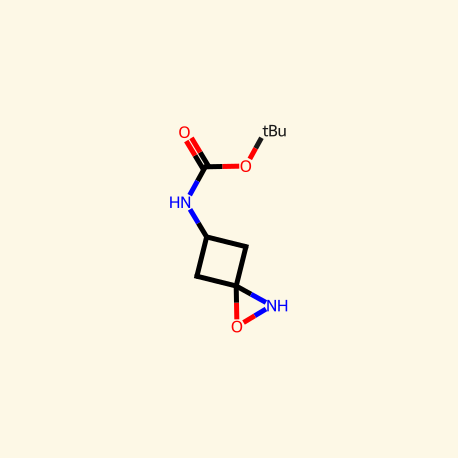 CC(C)(C)OC(=O)NC1CC2(C1)NO2